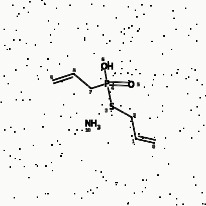 C=CCSP(=O)(O)CC=C.N